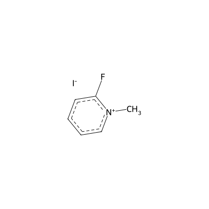 C[n+]1ccccc1F.[I-]